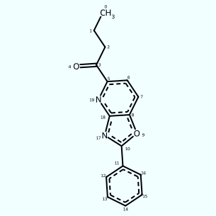 CCCC(=O)c1ccc2oc(-c3ccccc3)nc2n1